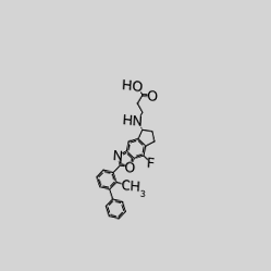 Cc1c(-c2ccccc2)cccc1-c1nc2cc3c(c(F)c2o1)CC[C@H]3NCCC(=O)O